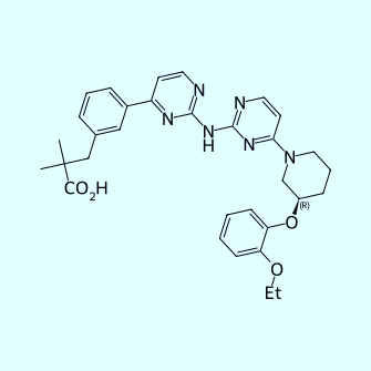 CCOc1ccccc1O[C@@H]1CCCN(c2ccnc(Nc3nccc(-c4cccc(CC(C)(C)C(=O)O)c4)n3)n2)C1